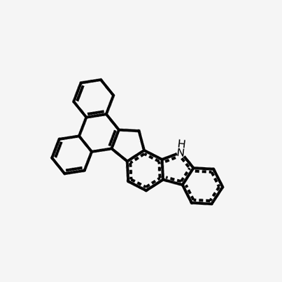 C1=CC2C3=C(CCC=C3)C3=C(c4ccc5c([nH]c6ccccc65)c4C3)C2C=C1